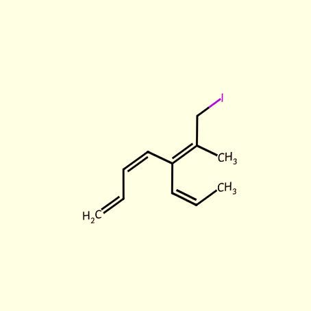 C=C\C=C/C(/C=C\C)=C(/C)CI